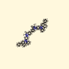 Cc1c(C)n(-c2ccc(N(c3ccccc3)c3ccc(-c4ccccc4)c4ccccc34)cc2)c2ccc(-c3ccc4c(c3)c(C)c(C)n4-c3ccc(N(c4ccccc4)c4ccc(-c5ccccc5)c5ccccc45)cc3)cc12